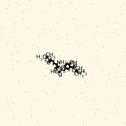 CC(C)(C)OC(=O)CC[C@H](N)C(=O)N[C@@H](Cc1ccc(O)c(C(=O)OC(C)(C)C)c1)C(=O)O